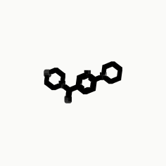 O=C(c1ccc(N2CCCCC2)nc1)N1CCOCC1